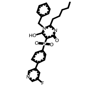 CCCCCc1nc(=O)c(S(=O)(=O)c2ccc(-c3cncc(F)c3)cc2)c(O)n1Cc1ccccc1